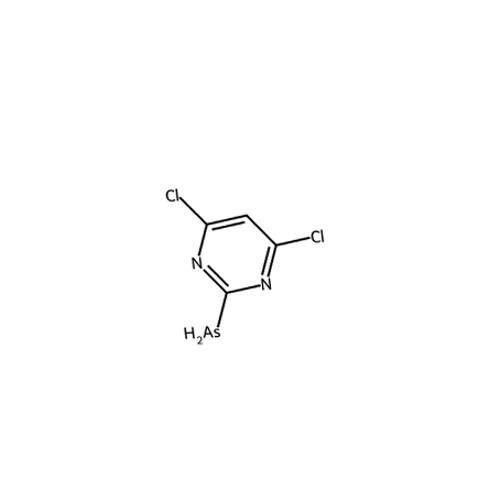 Clc1cc(Cl)nc([AsH2])n1